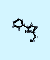 CCOc1nnc(-c2ccccn2)[nH]1